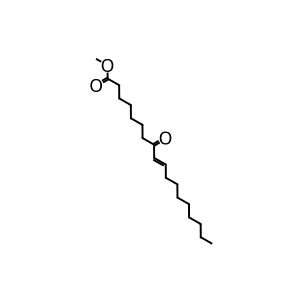 CCCCCCCCC=CC(=O)CCCCCCC(=O)OC